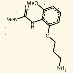 CNC(=O)Nc1c(OC)cccc1OCCCN